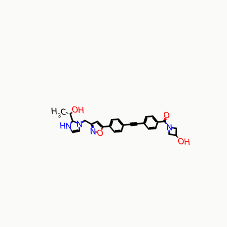 C[C@H](O)C1NC=CN1Cc1cc(-c2ccc(C#Cc3ccc(C(=O)N4CC(O)C4)cc3)cc2)on1